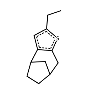 CCc1cc2c(s1)CC1CCC2C1